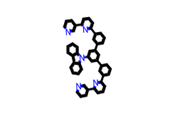 c1cncc(-c2cccc(-c3cccc(-c4cc(-c5cccc(-c6cccc(-c7cccnc7)n6)c5)cc(-n5c6ccccc6c6ccccc65)c4)c3)n2)c1